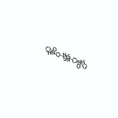 O=C(Nc1ccc(-c2nc3sc(-c4ccc(NC(=O)c5ccccc5)cc4)nc3s2)cc1)c1ccccc1